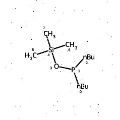 CCCCP(CCCC)O[Si](C)(C)C